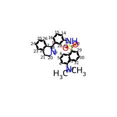 CN(C)c1cccc2c(S(=O)(=O)Nc3cccc(C4=NCCc5ccccc54)c3)cccc12